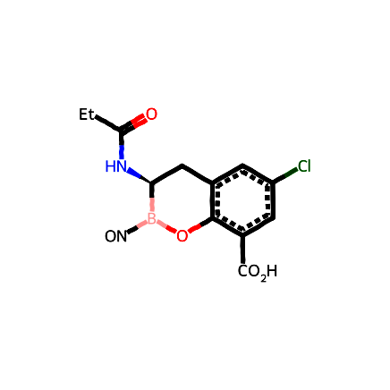 CCC(=O)N[C@H]1Cc2cc(Cl)cc(C(=O)O)c2OB1N=O